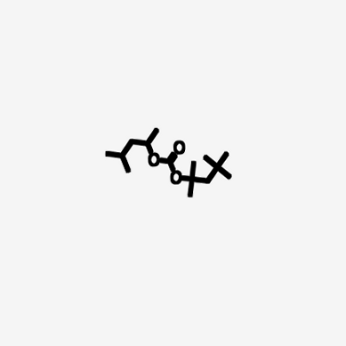 CC(C)CC(C)OC(=O)OC(C)(C)CC(C)(C)C